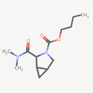 CCCCOC(=O)N1CC2CC2C1C(=O)N(C)C